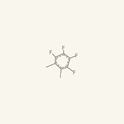 Cc1c(F)c(F)c(F)c(F)c1I